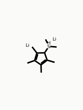 CC1=C(C)C([SiH](C)C)C(C)=C1C.[Li].[Li]